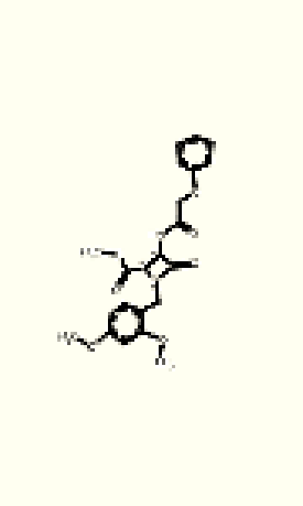 COC(=O)[C@H]1[C@@H](NC(=O)COc2ccccc2)C(=O)N1Cc1ccc(OC)cc1OC